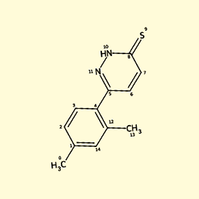 Cc1ccc(-c2ccc(=S)[nH]n2)c(C)c1